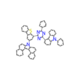 c1ccc(-c2nc(-c3cc(-n4c5ccc6ccccc6c5c5c6ccccc6ccc54)cc4c3sc3ccccc34)nc(-c3cccc4c3c3ccccc3n4-c3ccccc3)n2)cc1